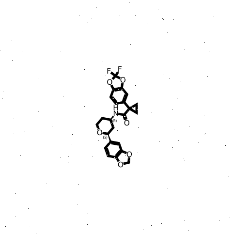 O=C(N[C@@H]1CCO[C@H](c2ccc3c(c2)OCO3)C1)C1(c2ccc3c(c2)OC(F)(F)O3)CC1